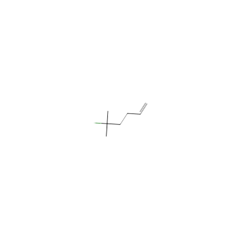 C=CCCC(C)(C)Cl